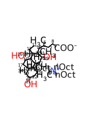 CCCCCCCC[N+](C)(CCCCCCCC)CCCCCCCC.C[C@H](CCC(=O)[O-])[C@H]1CC[C@H]2[C@@H]3[C@H](O)C[C@@H]4C[C@H](O)CC[C@]4(C)[C@H]3C[C@H](O)[C@]12C